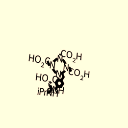 CC(C)NC(=S)Nc1ccc(CC2CN(CC(=O)O)CCN(CC(=O)O)CCN(CC(=O)O)CCN2CC(=O)O)cc1